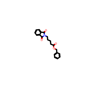 O=C(CCCCN1C(=O)c2ccccc2C1=O)OCc1ccccc1